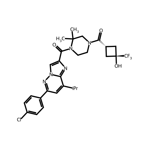 CC(C)c1cc(-c2ccc(Cl)cc2)nn2cc(C(=O)N3CCN(C(=O)[C@H]4C[C@](O)(C(F)(F)F)C4)CC3(C)C)nc12